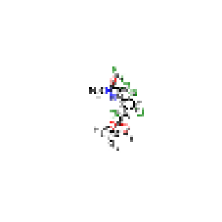 Cn1nc(-c2cc(C=C(Cl)C(=O)OC(C)(C)C)c(Cl)cc2Cl)c(Cl)c1OC(F)F